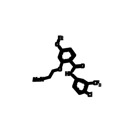 CCOc1ccc(C(=O)Nc2ccc(Cl)c(C(F)(F)F)c2)c(OCCNC)c1